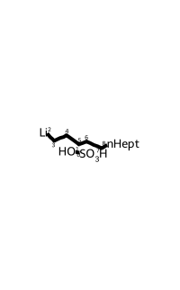 O=S(=O)(O)O.[Li][CH2]CCCCCCCCCCC